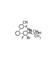 CC(C)(O)Cn1nnc2cc(-c3ccccc3-c3ccc(C#N)c(F)c3)c(F)c(Br)c21